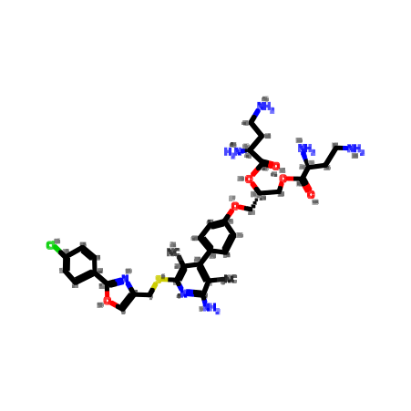 [C-]#[N+]c1c(N)nc(SCc2coc(-c3ccc(Cl)cc3)n2)c(C#N)c1-c1ccc(OC[C@@H](COC(=O)[C@@H](N)CCN)OC(=O)[C@@H](N)CCN)cc1